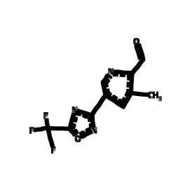 Cc1cc(-c2noc(C(F)(F)F)n2)cnc1C=O